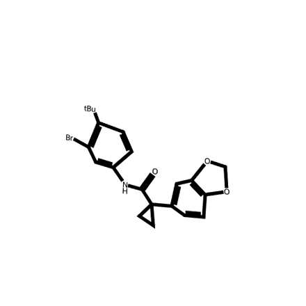 CC(C)(C)c1ccc(NC(=O)C2(c3ccc4c(c3)OCO4)CC2)cc1Br